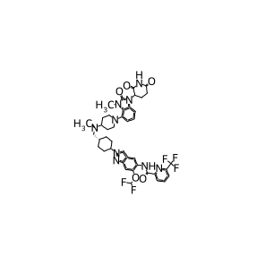 CN(C[C@H]1CC[C@H](n2cc3cc(NC(=O)c4cccc(C(F)(F)F)n4)c(OC(F)F)cc3n2)CC1)C1CCN(c2cccc3c2n(C)c(=O)n3C2CCC(=O)NC2=O)CC1